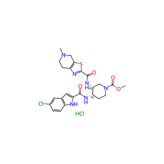 COC(=O)N1CC[C@H](NC(=O)c2cc3cc(Cl)ccc3[nH]2)[C@H](NC(=O)c2nc3c(s2)CN(C)CC3)C1.Cl